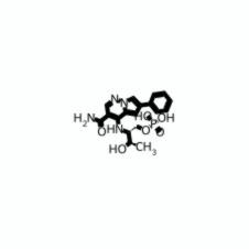 C[C@@H](O)[C@@H](COP(=O)(O)O)Nc1c(C(N)=O)cnn2cc(-c3ccccc3)cc12